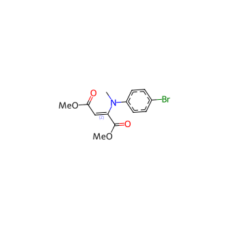 COC(=O)/C=C(/C(=O)OC)N(C)c1ccc(Br)cc1